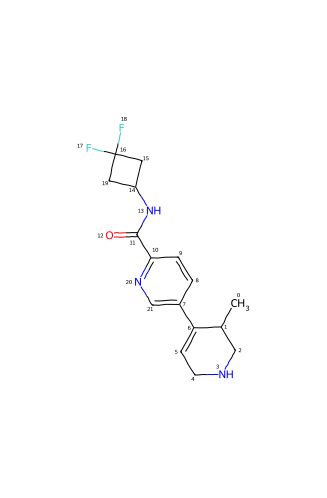 CC1CNCC=C1c1ccc(C(=O)NC2CC(F)(F)C2)nc1